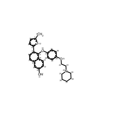 Cc1ccc(-c2ccc3cc(O)ccc3c2Oc2ccc(OCCN3CCCCC3)cc2)s1